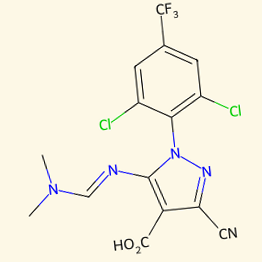 CN(C)C=Nc1c(C(=O)O)c(C#N)nn1-c1c(Cl)cc(C(F)(F)F)cc1Cl